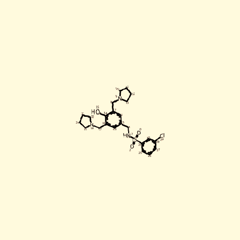 O=S(=O)(NCc1cc(CN2CCCC2)c(O)c(CN2CCCC2)c1)c1cccc(Cl)c1